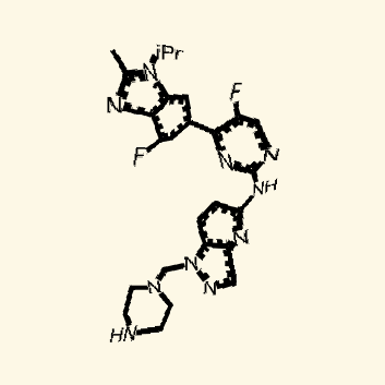 Cc1nc2c(F)cc(-c3nc(Nc4ccc5c(cnn5CN5CCNCC5)n4)ncc3F)cc2n1C(C)C